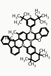 Cc1cc2c3c4c1C1(C)c5ccccc5-c5cccc(c51)N4c1cc4c(cc1B3c1oc3ccccc3c1N2c1cc(C(C)(C)C)cc(C(C)(C)C)c1)C(C)(C)CCC4(C)C